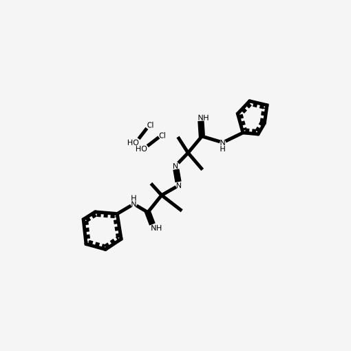 CC(C)(N=NC(C)(C)C(=N)Nc1ccccc1)C(=N)Nc1ccccc1.OCl.OCl